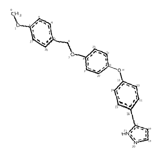 COc1ccc(COc2ccc(Oc3ccc(-c4ccn[nH]4)cc3)cc2)cc1